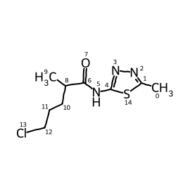 Cc1nnc(NC(=O)C(C)CCCCl)s1